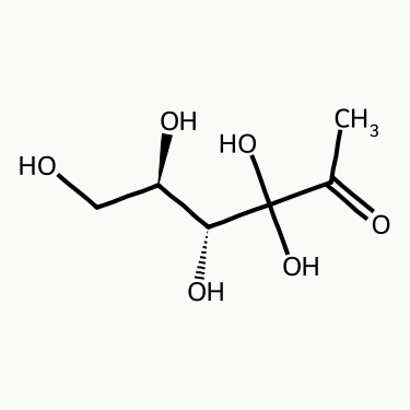 CC(=O)C(O)(O)[C@H](O)[C@H](O)CO